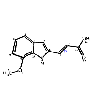 COc1cccc2cc(/C=C/C(=O)O)sc12